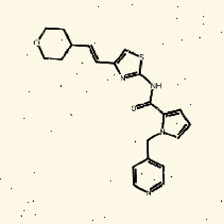 O=C(Nc1nc(/C=C/C2CCOCC2)cs1)c1cccn1Cc1ccncc1